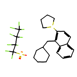 O=S(=O)([O-])C(F)(F)C(F)(F)C(F)(F)C(F)(F)F.c1ccc2c(CC3CCCCC3)c([S+]3CCCC3)ccc2c1